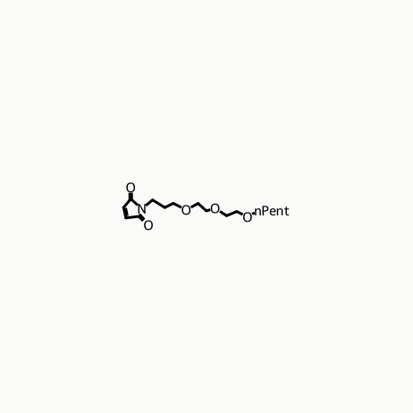 CCCCCOCCOCCOCCCN1C(=O)C=CC1=O